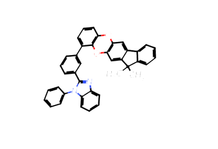 CC1(C)c2ccccc2-c2cc3c(cc21)Oc1c(cccc1-c1cccc(-c2nc4ccccc4n2-c2ccccc2)c1)O3